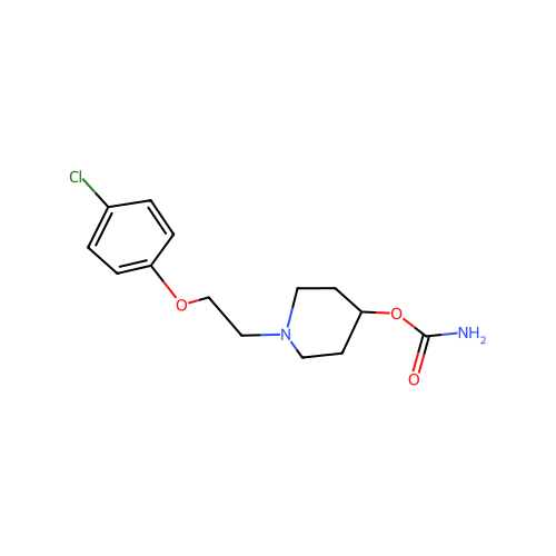 NC(=O)OC1CCN(CCOc2ccc(Cl)cc2)CC1